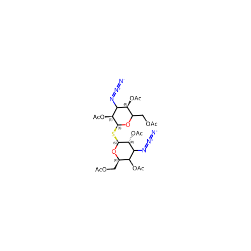 CC(=O)OCC1O[C@@H](S[C@@H]2O[C@H](COC(C)=O)C(OC(C)=O)C(N=[N+]=[N-])[C@H]2OC(C)=O)[C@@H](OC(C)=O)C(N=[N+]=[N-])[C@H]1OC(C)=O